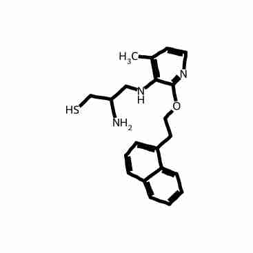 Cc1ccnc(OCCc2cccc3ccccc23)c1NCC(N)CS